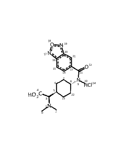 CN(C)C(C(=O)O)[C@H]1CC[C@H](N(C)C(=O)c2ccc3nonc3c2)CC1.Cl